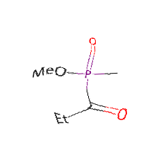 CCC(=O)P(C)(=O)OC